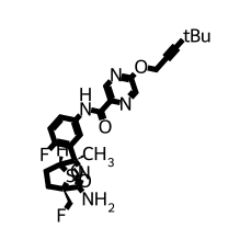 CC(C)(C)C#CCOc1cnc(C(=O)Nc2ccc(F)c([C@@]3(C)N=C(N)[C@]4(CF)CC[C@H]3S4(=O)=O)c2)cn1